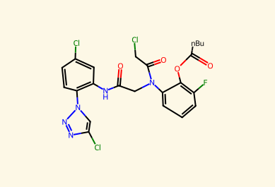 CCCCC(=O)Oc1c(F)cccc1N(CC(=O)Nc1cc(Cl)ccc1-n1cc(Cl)nn1)C(=O)CCl